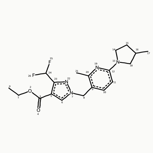 CCOC(=O)c1cn(Cc2ccc(N3CCC(C)C3)nc2C)nc1C(F)F